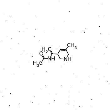 C=C(NC(C)=O)C1C=C(C)CNC1